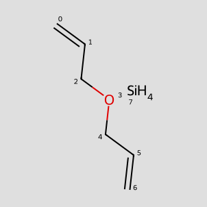 C=CCOCC=C.[SiH4]